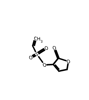 C=CS(=O)(=O)OC1=CCOC1=O